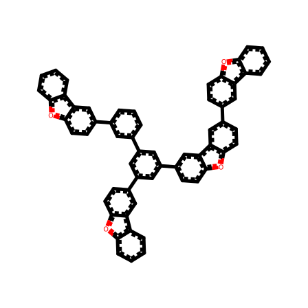 c1cc(-c2cc(-c3ccc4oc5ccccc5c4c3)cc(-c3ccc4oc5ccc(-c6ccc7oc8ccccc8c7c6)cc5c4c3)c2)cc(-c2ccc3oc4ccccc4c3c2)c1